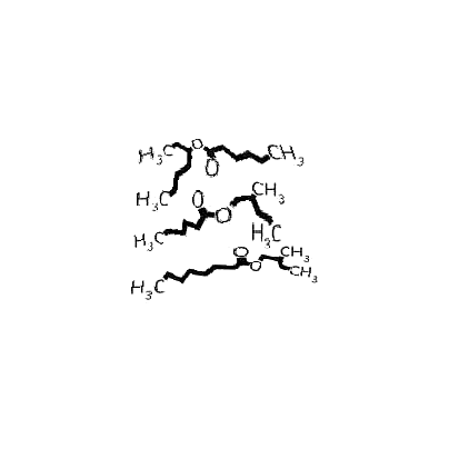 CCCCCC(=O)OC(CC)CCCC.CCCCCC(=O)OCC(C)CCC.CCCCCCCC(=O)OCC(C)CC